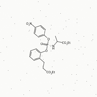 CCOC(=O)CCc1ccccc1O[P@](=O)(NC(C)C(=O)OCC)Oc1ccc([N+](=O)[O-])cc1